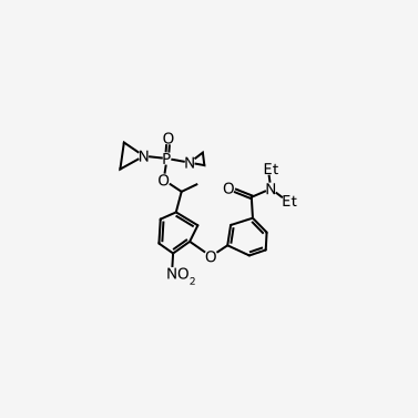 CCN(CC)C(=O)c1cccc(Oc2cc(C(C)OP(=O)(N3CC3)N3CC3)ccc2[N+](=O)[O-])c1